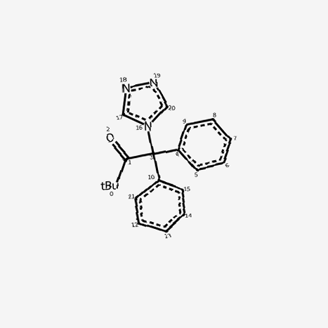 CC(C)(C)C(=O)C(c1ccccc1)(c1ccccc1)n1cnnc1